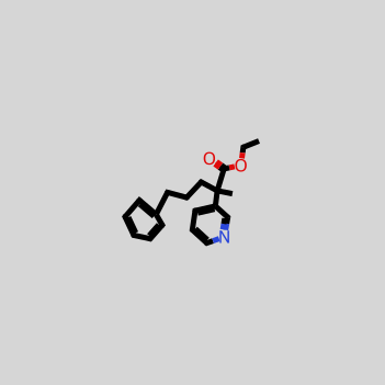 CCOC(=O)C(C)(CCCc1ccccc1)c1cccnc1